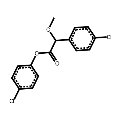 COC(C(=O)Oc1ccc(Cl)cc1)c1ccc(Cl)cc1